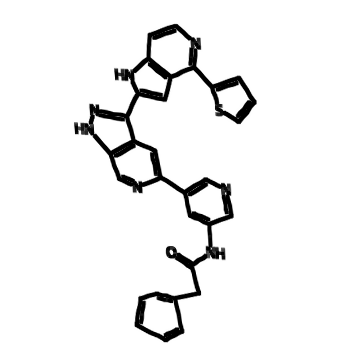 O=C(Cc1ccccc1)Nc1cncc(-c2cc3c(-c4cc5c(-c6cccs6)nccc5[nH]4)n[nH]c3cn2)c1